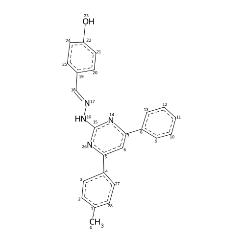 Cc1ccc(-c2cc(-c3ccccc3)nc(NN=Cc3ccc(O)cc3)n2)cc1